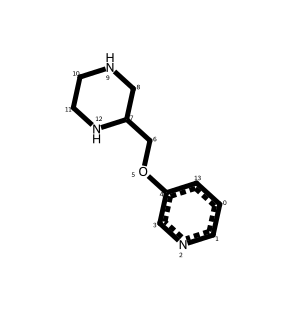 c1cncc(OCC2CNCCN2)c1